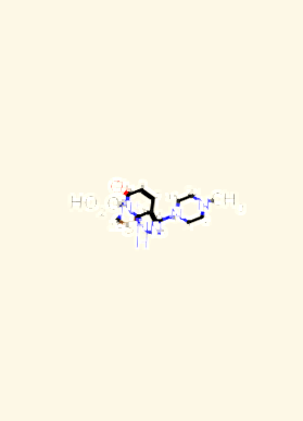 CN1CCN(C2=C3C=CC(=O)[N+]4(C(=O)O)CSC34NC=N2)CC1